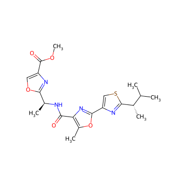 COC(=O)c1coc([C@H](C)NC(=O)c2nc(-c3csc([C@@H](C)C(C)C)n3)oc2C)n1